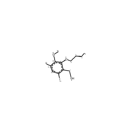 CCCCOc1c(CO)c(I)cc(C)c1OC